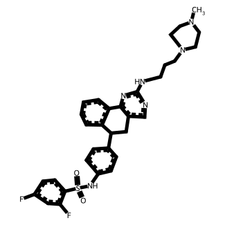 CN1CCN(CCCNc2ncc3c(n2)-c2ccccc2C(c2ccc(NS(=O)(=O)c4ccc(F)cc4F)cc2)C3)CC1